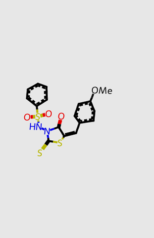 COc1ccc(C=C2SC(=S)N(NS(=O)(=O)c3ccccc3)C2=O)cc1